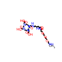 CNCCOCCOCCOCCC(=O)NC(C=O)CCCCNC(=O)CN1CCN(CC(=O)O)CCN(CC(=O)O)CCN(CC(=O)O)CC1